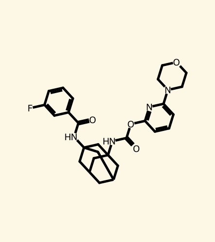 O=C(NC12CC3CC(C1)CC(NC(=O)c1cccc(F)c1)(C3)C2)Oc1cccc(N2CCOCC2)n1